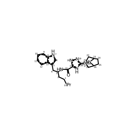 CC(C)CCC(Cc1c[nH]c2ccccc12)NC(=O)c1nnc(N2CC3CCC(C2)N3C)[nH]1